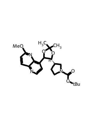 COc1ccc2nccc(C3OC(C)(C)O[C@@H]3C3CCN(C(=O)OC(C)(C)C)C3)c2n1